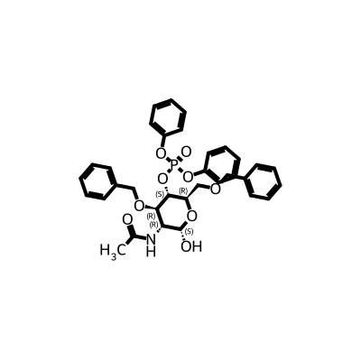 CC(=O)N[C@@H]1[C@@H](OCc2ccccc2)[C@H](OP(=O)(Oc2ccccc2)Oc2ccccc2)[C@@H](COCc2ccccc2)O[C@@H]1O